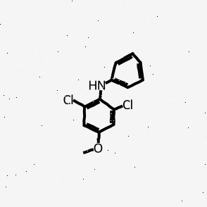 COc1cc(Cl)c(Nc2ccccc2)c(Cl)c1